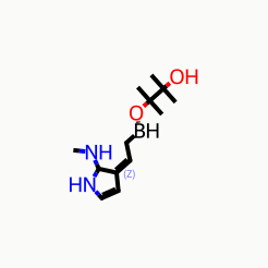 CNC1NC=C/C1=C/CBOC(C)(C)C(C)(C)O